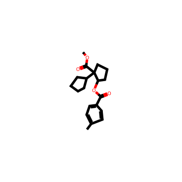 COC(=O)C1(C2CCCC2)CCCC1OC(=O)c1ccc(C)cc1